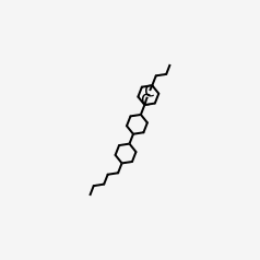 CCCCCC1CCC(C2CCC(C34CCC(CCC)(CC3)CC4)CC2)CC1